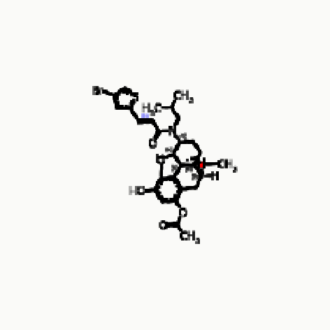 CC(=O)Oc1cc(O)c2c3c1C[C@@H]1[C@@H]4CC[C@H](N(CC(C)C)C(=O)/C=C/c5cc(Br)cs5)[C@H](O2)[C@]34CCN1C